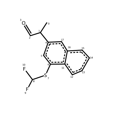 CC(C=O)c1cc(SC(F)F)c2ccccc2c1